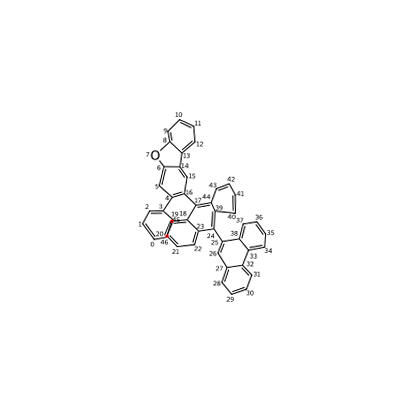 c1ccc(-c2cc3oc4ccccc4c3cc2-c2c3ccccc3c(-c3cc4ccccc4c4ccccc34)c3ccccc23)cc1